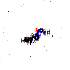 CNC1CCN(C(=O)c2cn3c(C(=O)NC[C@@H]4CC[C@H]5C[C@H]4C5(C)C)cccc3n2)C1